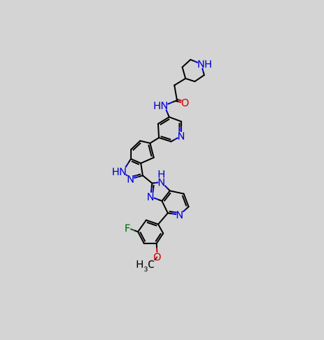 COc1cc(F)cc(-c2nccc3[nH]c(-c4n[nH]c5ccc(-c6cncc(NC(=O)CC7CCNCC7)c6)cc45)nc23)c1